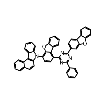 c1ccc(-c2nc(-c3ccc4c(c3)oc3ccccc34)nc(-c3ccc(-n4c5ccccc5c5c6ccccc6ccc54)c4oc5ccccc5c34)n2)cc1